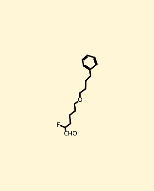 O=CC(F)CCCCOCCCCc1ccccc1